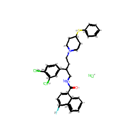 Cl.O=C(NCC(CCN1CCC(Sc2ccccc2)CC1)c1ccc(Cl)c(Cl)c1)c1ccc(F)c2ccccc12